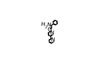 N[C@H](COc1ccc(-c2ccccn2)cn1)c1ccccc1